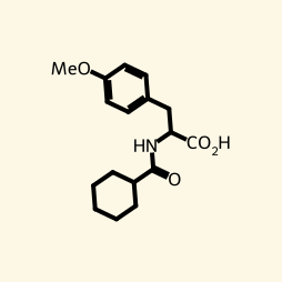 COc1ccc(CC(NC(=O)C2CCCCC2)C(=O)O)cc1